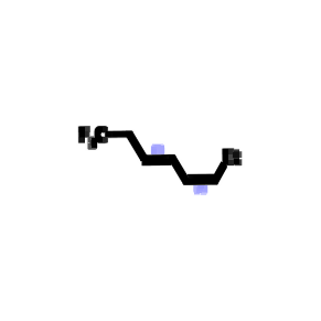 CC/C=C\C=C\CC(F)(F)F